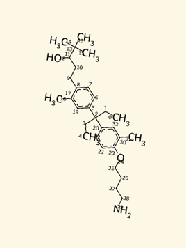 CCC(CC)(c1ccc(CCC(O)C(C)(C)C)c(C)c1)c1ccc(OCCCCN)c(C)c1